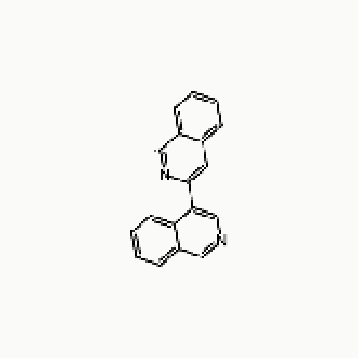 [c]1nc(-c2cncc3ccccc23)cc2ccccc12